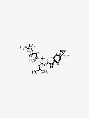 CC(C)C[C@H](OC(=O)Nc1ccc(C(F)(F)F)cc1)C(=O)N(C)CC(=O)OC(C)(C)C